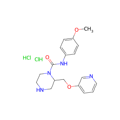 COc1ccc(NC(=O)N2CCNCC2COc2cccnc2)cc1.Cl.Cl